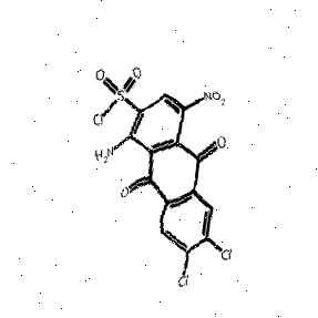 Nc1c(S(=O)(=O)Cl)cc([N+](=O)[O-])c2c1C(=O)c1cc(Cl)c(Cl)cc1C2=O